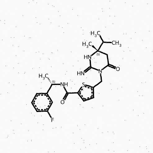 CC(C)[C@]1(C)CC(=O)N(Cc2ccc(C(=O)N[C@@H](C)c3cccc(F)c3)s2)C(=N)N1